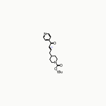 CC(C)(C)OC(=O)N1CCC(C/C=C/C(=O)c2ccncc2)CC1